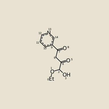 CCOC(O)C(=O)CC(=O)c1cccnc1